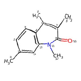 Cc1ccc2c(C)c(C)c(=O)n(C)c2c1